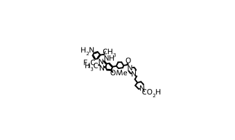 COc1cc2nc(C)nc(N[C@H](C)c3cc(N)cc(C(F)(F)F)c3)c2cc1C1CCC(C(=O)N2CCN(CCC3CCN(C(=O)O)CC3)CC2)CC1